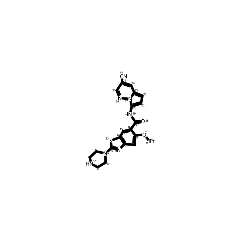 CC(C)Oc1cc2nc(N3CCNCC3)sc2cc1C(=O)Nc1ccc2cc(C#N)cnn12